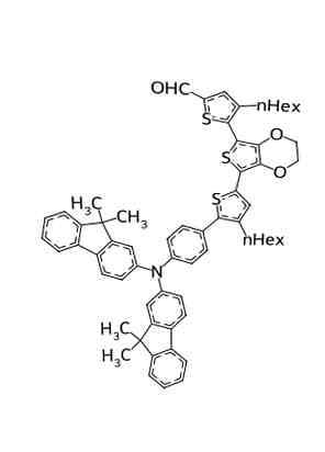 CCCCCCc1cc(-c2sc(-c3sc(C=O)cc3CCCCCC)c3c2OCCO3)sc1-c1ccc(N(c2ccc3c(c2)C(C)(C)c2ccccc2-3)c2ccc3c(c2)C(C)(C)c2ccccc2-3)cc1